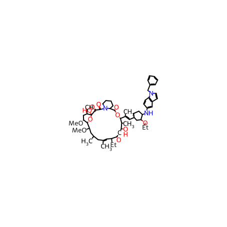 CCOC1CC(C=C(C)C2OC(=O)C3CCCCN3C(=O)C(=O)C3(O)OC(C(OC)CC(C)C/C(C)=C/C(CC)C(=O)CC(O)C2C)C(OC)CC3C)CCC1Nc1ccc2c(ccn2Cc2ccccc2)c1